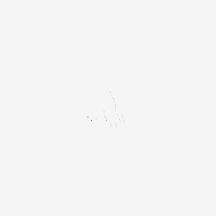 O=B[O-].OO.[Na+]